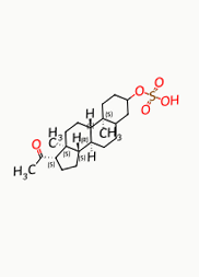 CC(=O)[C@H]1CC[C@H]2[C@@H]3CCC4CC(OS(=O)(=O)O)CC[C@]4(C)[C@H]3CC[C@]12C